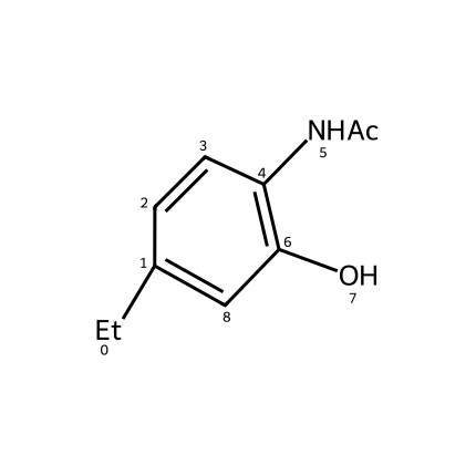 CCc1ccc(NC(C)=O)c(O)c1